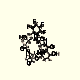 C[C@H]1NC(=O)C(C2COC2)NC(=O)[C@H](C)[C@H](O)[C@H](Cc2c(F)c(F)c(F)c(F)c2F)NC(=O)[C@H]1NC(=O)c1ccccc1O